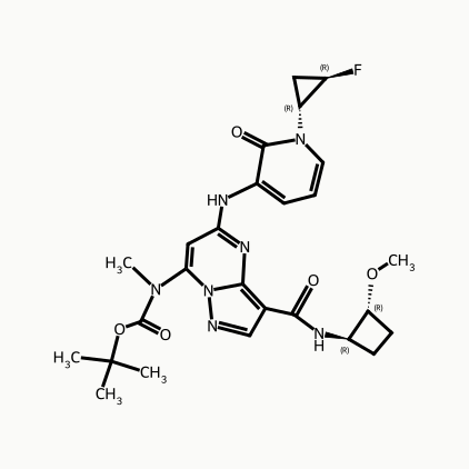 CO[C@@H]1CC[C@H]1NC(=O)c1cnn2c(N(C)C(=O)OC(C)(C)C)cc(Nc3cccn([C@@H]4C[C@H]4F)c3=O)nc12